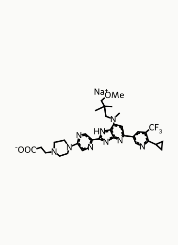 COCC(C)(C)CN(C)c1cc(-c2cnc(C3CC3)c(C(F)(F)F)c2)nc2nc(-c3cnc(N4CCN(CCC(=O)[O-])CC4)cn3)[nH]c12.[Na+]